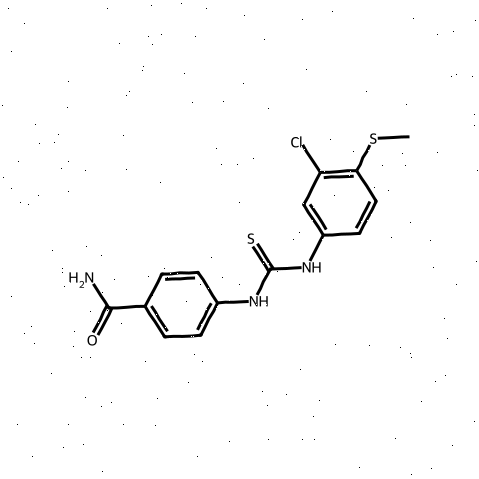 CSc1ccc(NC(=S)Nc2ccc(C(N)=O)cc2)cc1Cl